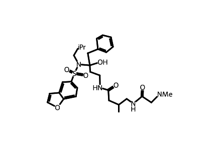 CNCC(=O)NCC(C)CC(=O)NCCC(O)(Cc1ccccc1)N(CC(C)C)S(=O)(=O)c1ccc2occc2c1